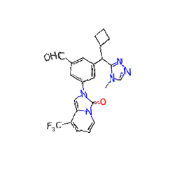 Cn1cnnc1C(c1cc(C=O)cc(-n2cc3c(C(F)(F)F)cccn3c2=O)c1)C1CCC1